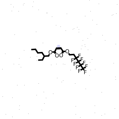 CCCCC(CC)COC(=O)/C=C\C(=O)OCCC(F)(F)C(F)(F)C(F)(F)C(F)(F)F